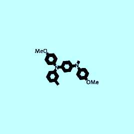 COc1ccc(N(C)c2ccc(N(c3ccc(OC)cc3)c3cccc(C)c3)cc2)cc1